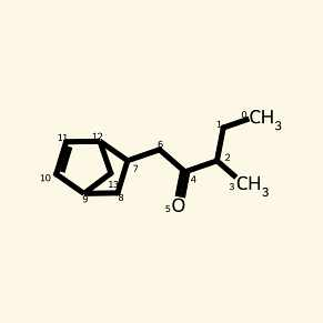 CCC(C)C(=O)CC1CC2C=CC1C2